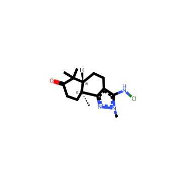 Cn1nc2c(c1NCl)CC[C@H]1C(C)(C)C(=O)CC[C@]21C